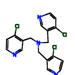 Clc1ccncc1CN(Cc1cnccc1Cl)Cc1cnccc1Cl